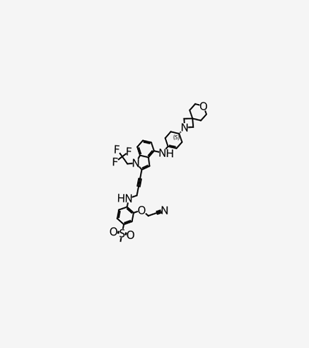 CS(=O)(=O)c1ccc(NCC#Cc2cc3c(NC4=CC[C@@H](N5CC6(CCOCC6)C5)CC4)cccc3n2CC(F)(F)F)c(OCC#N)c1